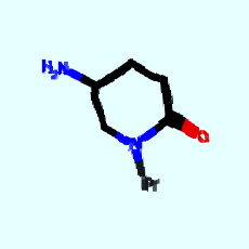 CC(C)N1CC(N)CCC1=O